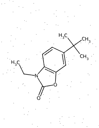 CCn1c(=O)oc2cc(C(C)(C)C)ccc21